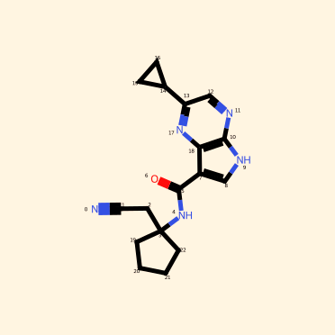 N#CCC1(NC(=O)c2c[nH]c3ncc(C4CC4)nc23)CCCC1